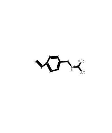 C=Cc1ccc(CNC(CC)CC)cc1